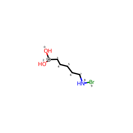 OB(O)CCCCCNBr